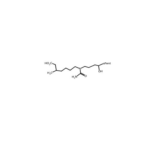 CCCCCC(O)CCCN(CCCCC(C)CC(=O)O)C(N)=O